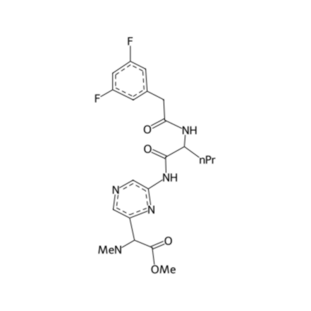 CCCC(NC(=O)Cc1cc(F)cc(F)c1)C(=O)Nc1cncc(C(NC)C(=O)OC)n1